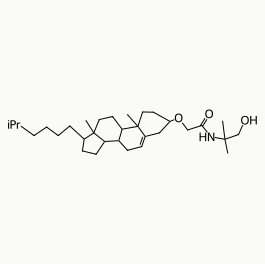 CC(C)CCCCC1CCC2C3CC=C4CC(OCC(=O)NC(C)(C)CO)CCC4(C)C3CCC12C